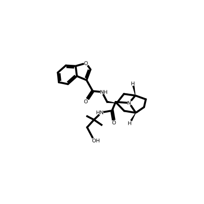 CC(C)(CO)NC(=O)CN1[C@@H]2CC[C@H]1C[C@H](CNC(=O)c1coc3ccccc13)C2